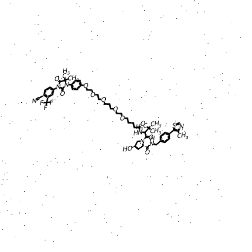 Cc1ncsc1-c1ccc(CNC(=O)[C@@H]2C[C@@H](O)CN2C(=O)C(NC(=O)CCCCOCCOCCCOCCOCCOc2ccc(N3C(=O)N(c4ccc(C#N)c(C(F)(F)F)c4)C(=O)C3(C)C)cc2)C(C)(C)C)cc1